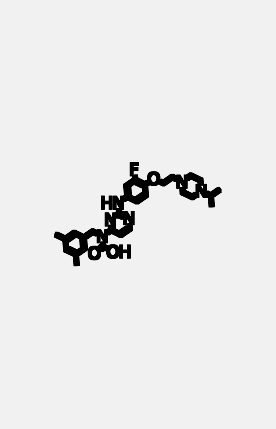 Cc1cc(C)cc(CN(C(=O)O)c2ccnc(Nc3ccc(OCCN4CCN(C(C)C)CC4)c(F)c3)n2)c1